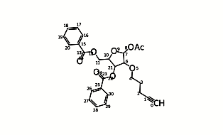 C#CCCCOC1C(OC(C)=O)OC(COC(=O)c2ccccc2)C1OC(=O)c1ccccc1